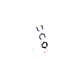 COc1cc(N2CCC(N3CC(C)OC(C)C3)CC2)ccc1[N+](=O)[O-]